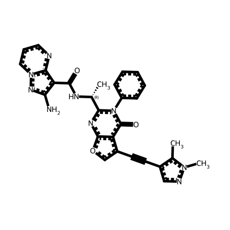 Cc1c(C#Cc2coc3nc([C@@H](C)NC(=O)c4c(N)nn5cccnc45)n(-c4ccccc4)c(=O)c23)cnn1C